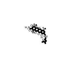 Cc1cc(CNCc2cc(N(C)C)c3c(c2O)C(=O)C2=C(O)[C@]4(O)C(=O)C(C(N)=O)=C(O)[C@@H](N(C)C)[C@@H]4C[C@@H]2C3)oc1C